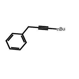 [CH2]CCCC#CCc1ccccc1